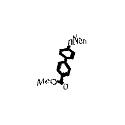 CCCCCCCCCc1ccc(-c2ccc(C(=O)OC)cc2)cc1